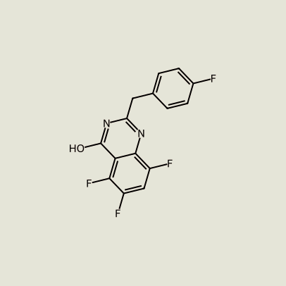 Oc1nc(Cc2ccc(F)cc2)nc2c(F)cc(F)c(F)c12